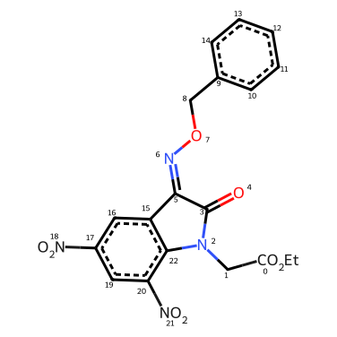 CCOC(=O)CN1C(=O)C(=NOCc2ccccc2)c2cc([N+](=O)[O-])cc([N+](=O)[O-])c21